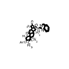 CC(=O)O[C@H]1CC[C@@]2(C)C(CC[C@]3(C)C2CCC2C4=C(C(C)C)C(=O)C[C@]4(C(=O)Nc4ncc5ccccc5n4)CC[C@]23C)C1(C)C